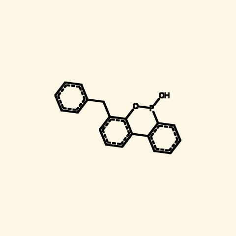 OP1Oc2c(Cc3ccccc3)cccc2-c2ccccc21